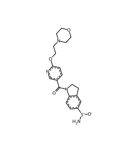 N[S+]([O-])c1ccc2c(c1)CCN2C(=O)c1ccc(OCCN2CCOCC2)nc1